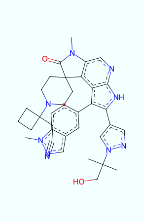 CN1C(=O)C2(CCN(C3(CC#N)CCC3)CC2)c2c1cnc1[nH]c(-c3cnn(C(C)(C)CO)c3)c(-c3ccc4c(cnn4C)c3)c21